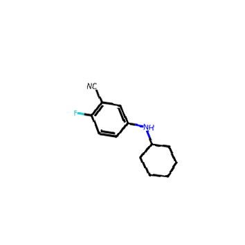 N#Cc1cc(NC2CCCCC2)ccc1F